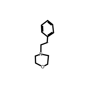 [CH](CN1CCOCC1)c1ccccc1